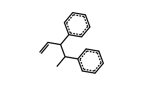 C=CC(c1ccccc1)C(C)c1ccccc1